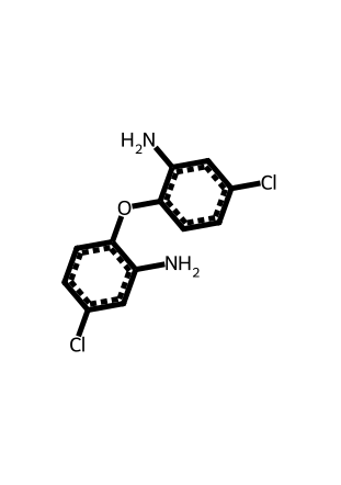 Nc1cc(Cl)ccc1Oc1ccc(Cl)cc1N